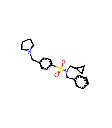 O=S(=O)(c1ccc(CN2CCCC2)cc1)N(Cc1ccccc1)CC1CC1